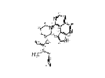 CN(CC#N)C(=O)OC1CCCN(c2ncnc3cnc4[nH]ccc4c23)C1